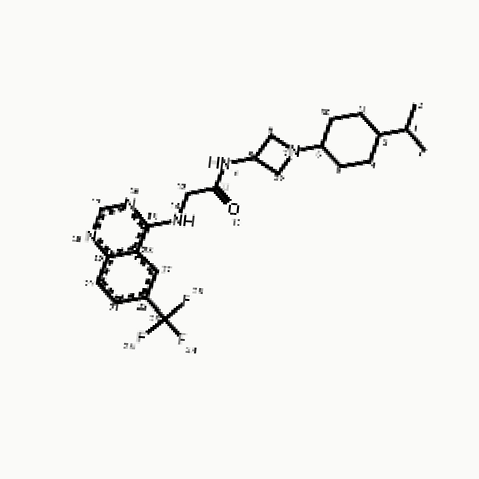 CC(C)C1CCC(N2CC(NC(=O)CNc3ncnc4ccc(C(F)(F)F)cc34)C2)CC1